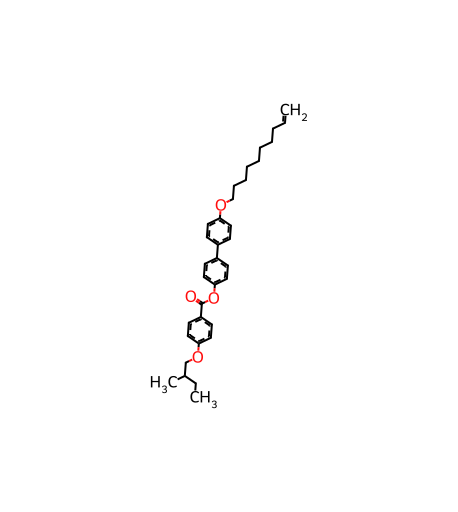 C=CCCCCCCCCOc1ccc(-c2ccc(OC(=O)c3ccc(OCC(C)CC)cc3)cc2)cc1